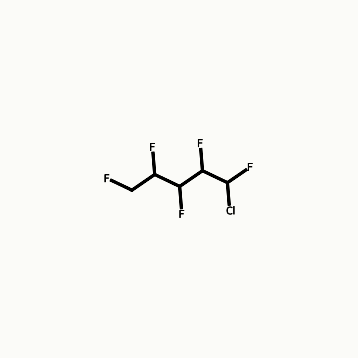 FCC(F)C(F)C(F)C(F)Cl